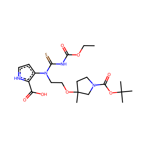 CCOC(=O)NC(=S)N(CCOC1(C)CCN(C(=O)OC(C)(C)C)C1)c1cc[nH]c1C(=O)O